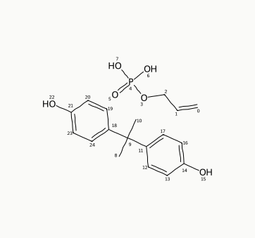 C=CCOP(=O)(O)O.CC(C)(c1ccc(O)cc1)c1ccc(O)cc1